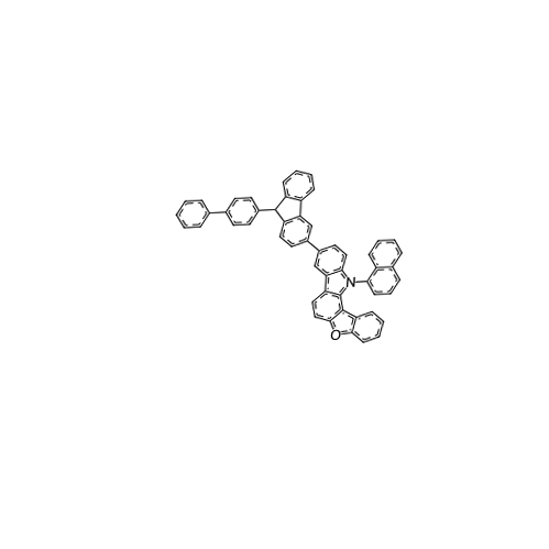 c1ccc(-c2ccc(C3c4ccccc4-c4cc(-c5ccc6c(c5)c5ccc7oc8ccccc8c7c5n6-c5cccc6ccccc56)ccc43)cc2)cc1